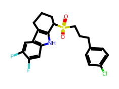 O=S(=O)(CCCc1ccc(Cl)cc1)C1CCCc2c1[nH]c1cc(F)c(F)cc21